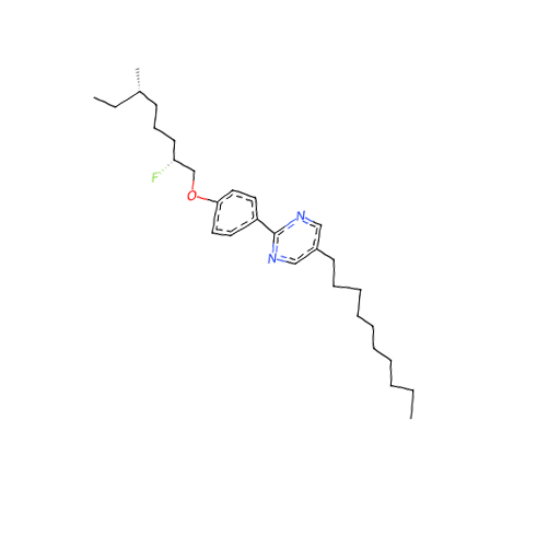 CCCCCCCCCCc1cnc(-c2ccc(OC[C@H](F)CCC[C@@H](C)CC)cc2)nc1